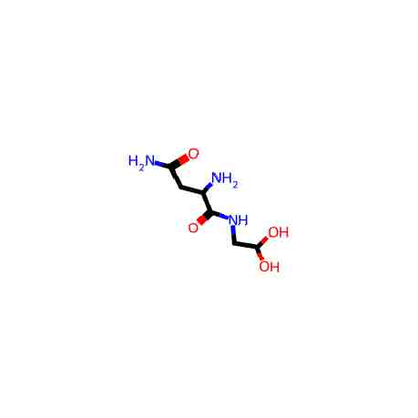 NC(=O)CC(N)C(=O)NCC(O)O